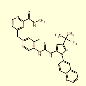 CNC(=O)c1cc(Cc2ccc(NC(=O)Nc3cc(C(C)(C)C)nn3-c3ccc4ncccc4c3)c(F)c2)ccn1